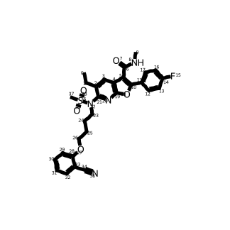 CCc1cc2c(C(=O)NC)c(-c3ccc(F)cc3)oc2nc1N(CCCCOc1ccccc1C#N)S(C)(=O)=O